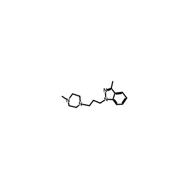 Cc1nn(CCCN2CCN(C)CC2)c2ccccc12